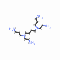 NCCCN(CCN)CCCCN(CCN)CCCN